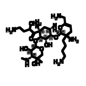 CN[C@@H]1[C@@H](O)[C@@H](O[C@@H]2[C@@H](O)[C@H](O[C@H]3OC(CN)=CC[C@]3(N)CCCCN)[C@@H](N)C[C@]2(N)C(=O)C(O)CCN)OC[C@]1(C)O